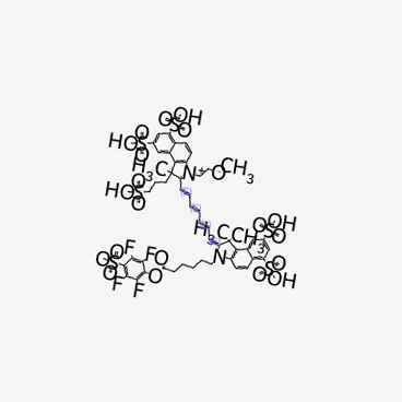 COCC[N+]1=C(/C=C/C=C/C=C/C=C2/N(CCCCCC(=O)Oc3c(F)c(F)c(S(=O)(=O)[O-])c(F)c3F)c3ccc4c(S(=O)(=O)O)cc(S(=O)(=O)O)cc4c3C2(C)C)C(C)(CCCS(=O)(=O)O)c2c1ccc1c(S(=O)(=O)O)cc(S(=O)(=O)O)cc21